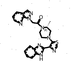 C[C@@H]1CN(c2scnc2-c2nc3ccccc3[nH]2)CCN1C(=O)Cn1ncc2cccnc21